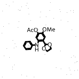 COc1cc(C2OCCO2)c(Nc2ccccc2)cc1OC(C)=O